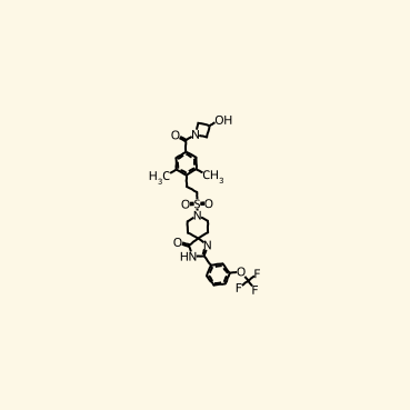 Cc1cc(C(=O)N2CC(O)C2)cc(C)c1CCS(=O)(=O)N1CCC2(CC1)N=C(c1cccc(OC(F)(F)F)c1)NC2=O